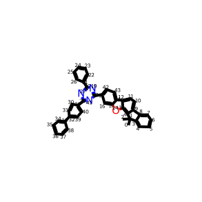 CC1(C)c2ccccc2-c2ccc3c(oc4cc(-c5nc(-c6ccccc6)nc(-c6ccc(-c7ccccc7)cc6)n5)ccc43)c21